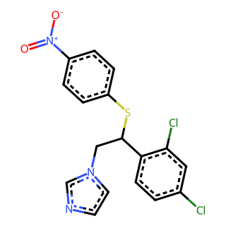 O=[N+]([O-])c1ccc(SC(Cn2ccnc2)c2ccc(Cl)cc2Cl)cc1